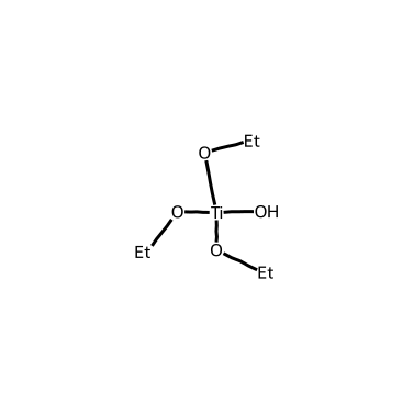 CC[O][Ti]([OH])([O]CC)[O]CC